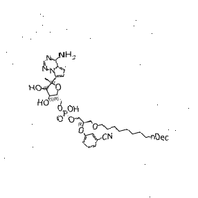 CCCCCCCCCCCCCCCCCCOC[C@H](COP(=O)(O)OC[C@H]1O[C@@](C)(c2ccc3c(N)ncnn23)[C@H](O)[C@@H]1O)Oc1cccc(C#N)c1